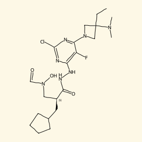 CCC1(N(C)C)CN(c2nc(Cl)nc(NNC(=O)[C@@H](CC3CCCC3)CN(O)C=O)c2F)C1